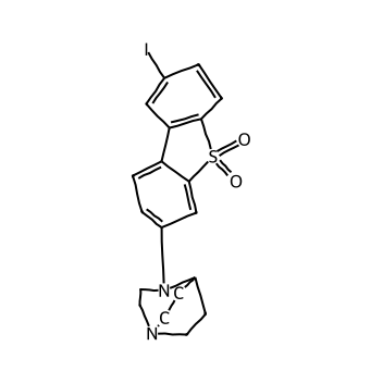 O=S1(=O)c2ccc(I)cc2-c2ccc(N3CCN4CCC3CC4)cc21